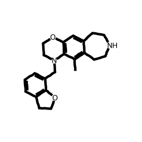 Cc1c2c(cc3c1N(Cc1cccc4c1OCC4)CCO3)CCNCC2